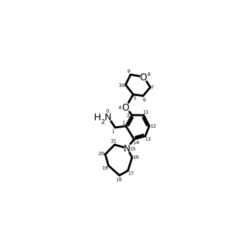 NCc1c(OC2CCOCC2)cccc1N1CCCCCC1